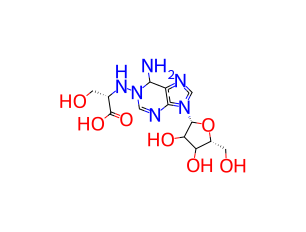 NC1c2ncn([C@@H]3O[C@H](CO)C(O)C3O)c2N=CN1N[C@@H](CO)C(=O)O